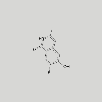 Cc1cc2cc(O)c(F)cc2c(=O)[nH]1